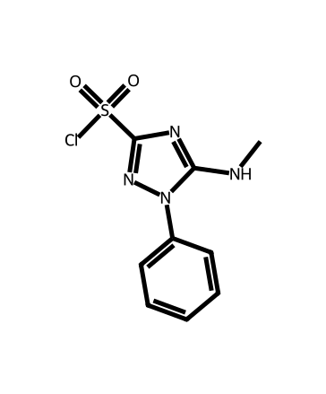 CNc1nc(S(=O)(=O)Cl)nn1-c1ccccc1